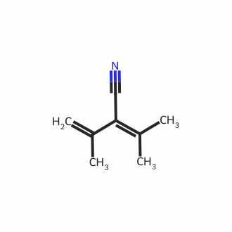 C=C(C)C(C#N)=C(C)C